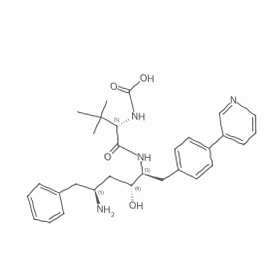 CC(C)(C)[C@H](NC(=O)O)C(=O)N[C@@H](Cc1ccc(-c2cccnc2)cc1)[C@H](O)C[C@@H](N)Cc1ccccc1